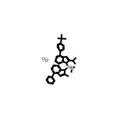 CC1=Cc2c(-c3ccccc3)cccc2[CH]1[Zr+2]([CH]1C(C(C)C)=Cc2c(-c3ccc(C(C)(C)C)cc3)cccc21)=[Si](C)C.[Cl-].[Cl-]